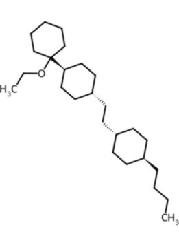 CCCC[C@H]1CC[C@H](CC[C@H]2CC[C@H](C3(OCC)CCCCC3)CC2)CC1